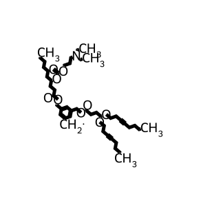 [CH2]c1cc(COC(=O)CCC(CCCCCC)OC(=O)OCCCN(CC)CC)cc(COC(=O)CCC(OCCC#CCCCC)OCCC#CCCCC)c1